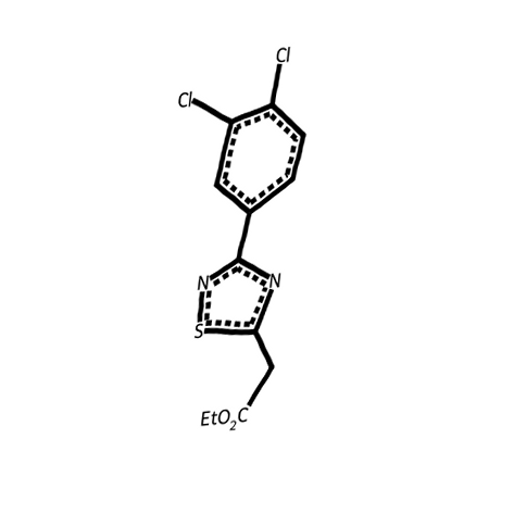 CCOC(=O)Cc1nc(-c2ccc(Cl)c(Cl)c2)ns1